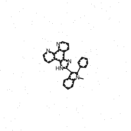 Cn1c(-c2ccccc2)c(-c2nc3c4cccnc4c4ncccc4c3[nH]2)c2ccccc21